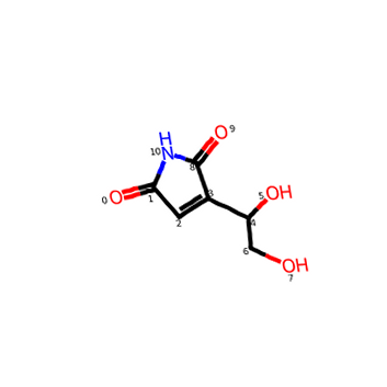 O=C1C=C(C(O)CO)C(=O)N1